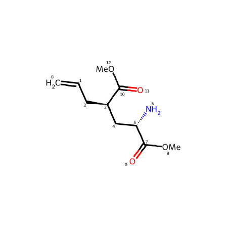 C=CC[C@H](C[C@H](N)C(=O)OC)C(=O)OC